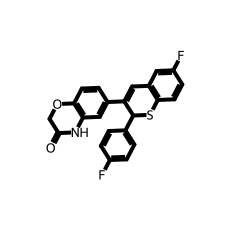 O=C1COc2ccc(C3=Cc4cc(F)ccc4SC3c3ccc(F)cc3)cc2N1